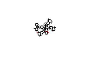 Cc1cc2c3c(c1)N(c1ccc4c(c1)C(C)(C)CCC4(C)C)c1c(oc4cc5c(cc14)C(C)(C)CCC5(C)C)B3c1ccc(-n3c4ccccc4c4c(C)cc(C)cc43)cc1N2c1cc2c(cc1-c1ccccc1)C(C)(C)CCC2(C)C